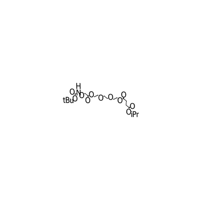 CC(C)OC(=O)CCC(=O)OCCOCCOCCOC(=O)CONC(=O)OC(C)(C)C